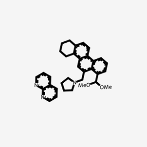 COC(OC)c1cccc2c1c(CN1CCCC1)cc1c3c(ccc12)CCCC3.c1cnc2ncccc2c1